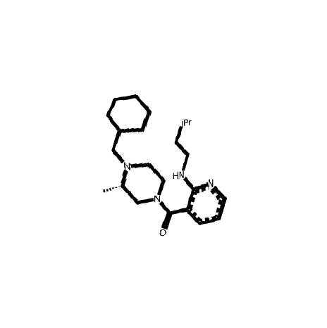 CC(C)CCNc1ncccc1C(=O)N1CCN(CC2CCCCC2)[C@@H](C)C1